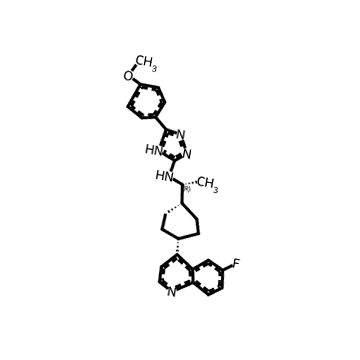 COc1ccc(-c2nnc(N[C@H](C)[C@H]3CC[C@@H](c4ccnc5ccc(F)cc54)CC3)[nH]2)cc1